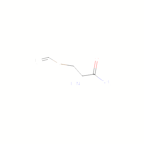 C=CSC[C@@H](N)C(N)=O